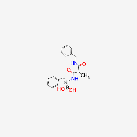 CC(C(=O)NCc1ccccc1)C(=O)N[C@@H](Cc1ccccc1)B(O)O